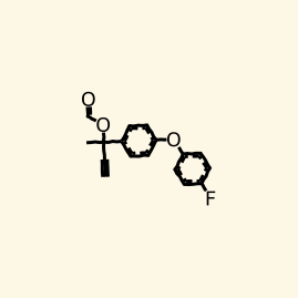 C#CC(C)(OC=O)c1ccc(Oc2ccc(F)cc2)cc1